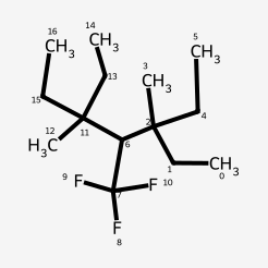 CCC(C)(CC)C(C(F)(F)F)C(C)(CC)CC